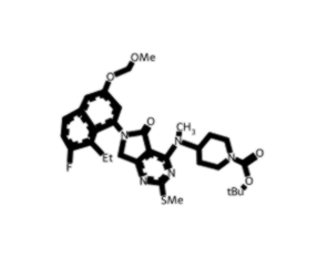 CCc1c(F)ccc2cc(OCOC)cc(N3Cc4nc(SC)nc(N(C)C5CCN(C(=O)OC(C)(C)C)CC5)c4C3=O)c12